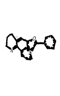 C(=C1\CCCN=C1c1cccnc1)/c1ccc(-c2ccccc2)o1